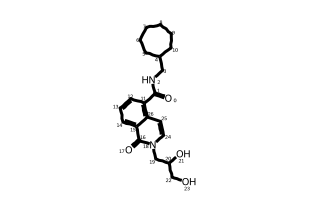 O=C(NCC1CCCCCC1)c1cccc2c(=O)n(CC(O)CO)ccc12